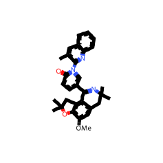 COc1cc2c(c3c1OC(C)(C)C3)C(c1ccc(=O)n(-c3nc4ccccc4cc3C)c1)=NC(C)(C)C2